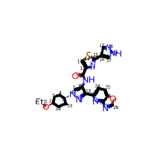 CCO[C@H]1CC[C@H](n2cc(NC(=O)c3csc(-c4cn[nH]c4)n3)c(-c3ccc4ocnc4n3)n2)CC1